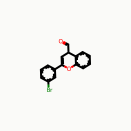 O=CC1C=C(c2cccc(Br)c2)Oc2ccccc21